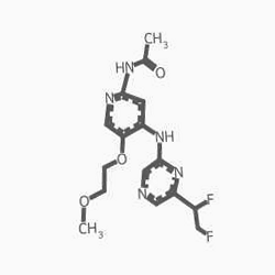 COCCOc1cnc(NC(C)=O)cc1Nc1cncc(C(F)CF)n1